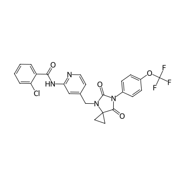 O=C(Nc1cc(CN2C(=O)N(c3ccc(OC(F)(F)F)cc3)C(=O)C23CC3)ccn1)c1ccccc1Cl